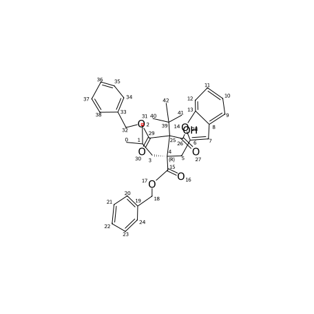 CC(C)C[C@](Cc1cc2ccccc2o1)(C(=O)OCc1ccccc1)C(C(=O)O)(C(=O)OCc1ccccc1)C(C)(C)C